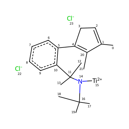 CC1=CCC(c2ccccc2C(C)(C)[N]([Ti+2])C(C)(C)C)=C1C.[Cl-].[Cl-]